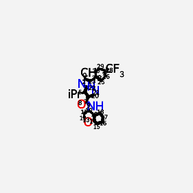 Cc1nc2c(C(C)C)c(C(=O)N[C@H]3CCOc4ccccc43)cnn2c1C1=CCC(C(F)(F)F)CC1